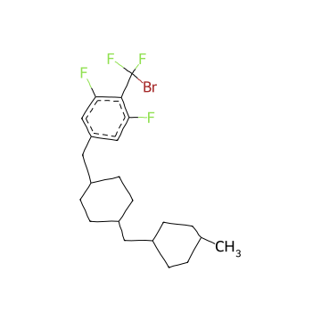 CC1CCC(CC2CCC(Cc3cc(F)c(C(F)(F)Br)c(F)c3)CC2)CC1